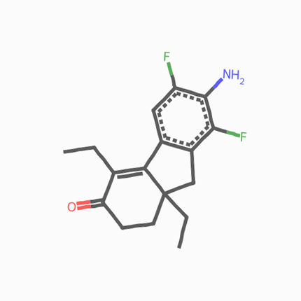 CCC1=C2c3cc(F)c(N)c(F)c3CC2(CC)CCC1=O